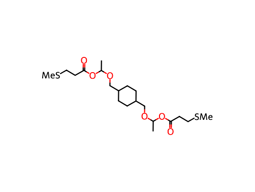 CSCCC(=O)OC(C)OCC1CCC(COC(C)OC(=O)CCSC)CC1